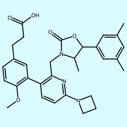 COc1ccc(CCC(=O)O)cc1-c1ccc(N2CCC2)nc1CN1C(=O)OC(c2cc(C)cc(C)c2)C1C